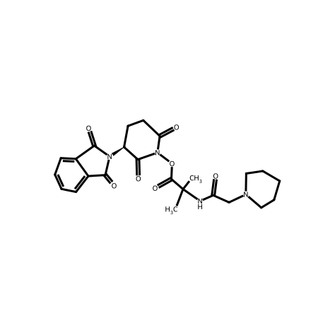 CC(C)(NC(=O)CN1CCCCC1)C(=O)ON1C(=O)CC[C@H](N2C(=O)c3ccccc3C2=O)C1=O